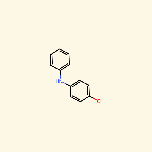 [O]c1ccc(Nc2ccccc2)cc1